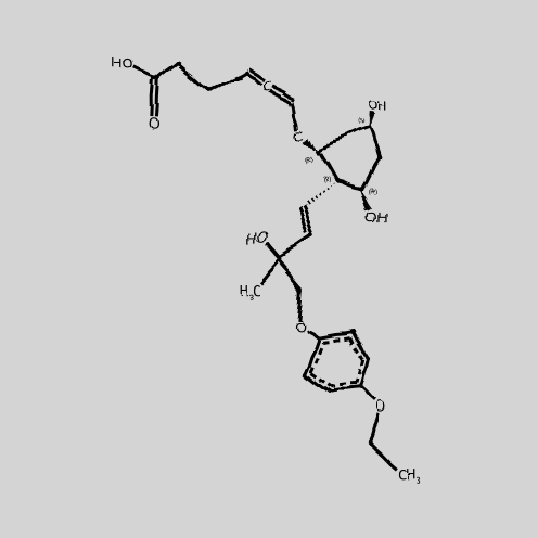 CCOc1ccc(OCC(C)(O)C=C[C@@H]2[C@@H](CC=C=CCCC(=O)O)[C@@H](O)C[C@H]2O)cc1